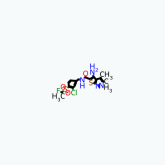 Cc1nnc2sc(C(=O)NCc3ccc(S(=O)(=O)C(C)F)c(Cl)c3)c(N)c2c1C